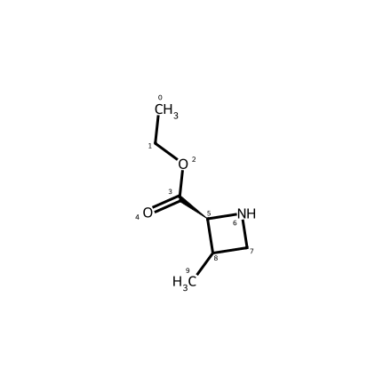 CCOC(=O)[C@H]1NCC1C